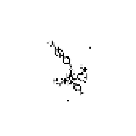 Cc1cc(-c2c(OCCc3ccc(N4CCN(C5COC5)CC4)cc3)nc(N)nc2-c2ccc(F)cc2)cc(C(F)F)n1